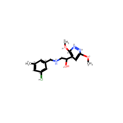 COc1cc(C(O)CNCc2cc(C)cc(Cl)c2)c(OC)nn1